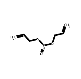 C=CCO[PH](=O)SCC=C